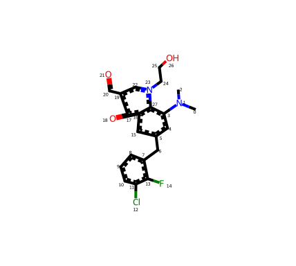 CN(C)c1cc(Cc2cccc(Cl)c2F)cc2c(=O)c(C=O)cn(CCO)c12